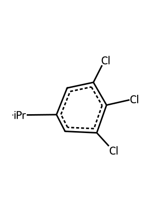 C[C](C)c1cc(Cl)c(Cl)c(Cl)c1